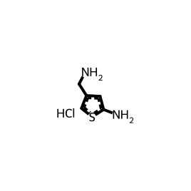 Cl.NCc1csc(N)c1